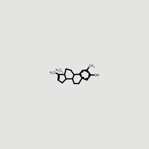 CC1=CCC2C3CCc4cc(O)c(C)cc4C3CC[C@]12C